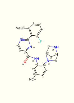 COc1cccc(F)c1-c1nccc(C(=O)Nc2cc(C#N)ccc2N2CC3CC2CN3)n1